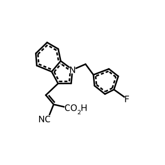 N#CC(=Cc1cn(Cc2ccc(F)cc2)c2ccccc12)C(=O)O